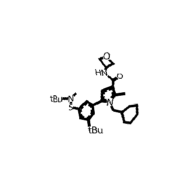 Cc1c(C(=O)NC2COC2)cc(-c2cc(SN(C)C(C)(C)C)cc(C(C)(C)C)c2)n1CC1CCCCC1